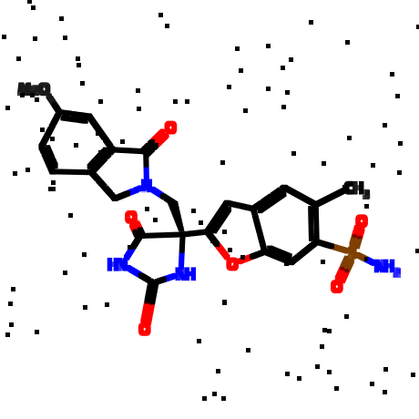 COc1ccc2c(c1)C(=O)N(C[C@@]1(c3cc4cc(C)c(S(N)(=O)=O)cc4o3)NC(=O)NC1=O)C2